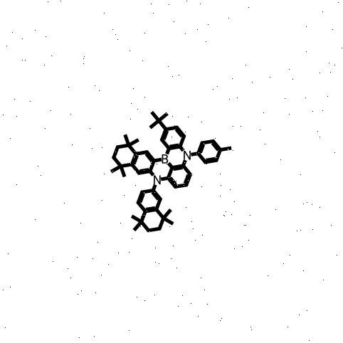 Cc1ccc(N2c3ccc(C(C)(C)C)cc3B3c4cc5c(cc4N(c4ccc6c(c4)C(C)(C)CCC6(C)C)c4cccc2c43)C(C)(C)CCC5(C)C)cc1